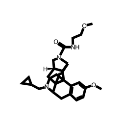 COCCNC(=O)N1C[C@H]2CC34CCC1C2C31CCN(CC2CC2)C4Cc2ccc(OC)cc21